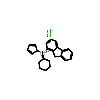 C1=C[CH]([Hf+2](=[C]2CCCCC2)[c]2cccc3c2Cc2ccccc2-3)C=C1.[Cl-].[Cl-]